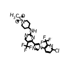 CS(=O)(=O)N1CCC(Nc2ncc(C(F)(F)F)c(-c3cn(-c4ccc(Cl)nc4C(F)(F)F)cn3)n2)CC1